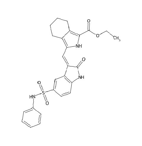 CCOC(=O)c1[nH]c(C=C2C(=O)Nc3ccc(S(=O)(=O)Nc4ccccc4)cc32)c2c1CCCC2